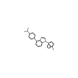 Cc1ccc(C2C=Cc3c(-c4ccc(C(C)C)cc4)cccc32)o1